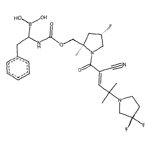 CC(C)(C=C(C#N)C(=O)N1C[C@@H](F)C[C@]1(C)COC(=O)NC(Cc1ccccc1)B(O)O)N1CCC(F)(F)C1